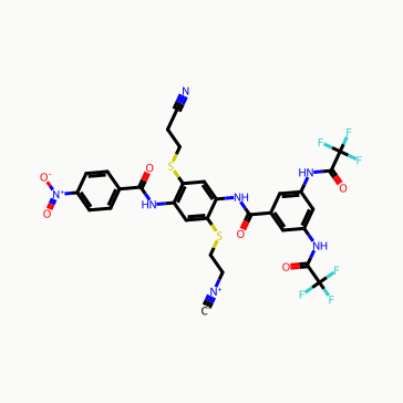 [C-]#[N+]CCSc1cc(NC(=O)c2ccc([N+](=O)[O-])cc2)c(SCCC#N)cc1NC(=O)c1cc(NC(=O)C(F)(F)F)cc(NC(=O)C(F)(F)F)c1